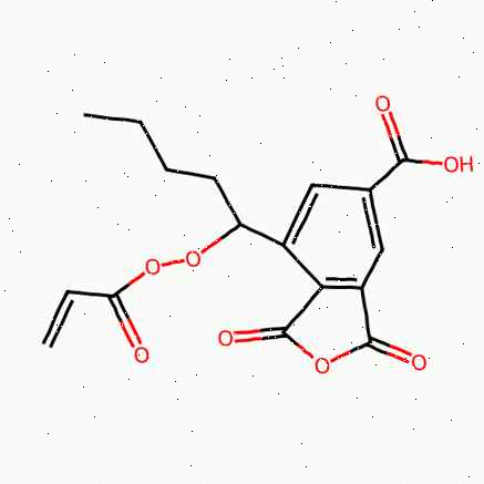 C=CC(=O)OOC(CCCC)c1cc(C(=O)O)cc2c1C(=O)OC2=O